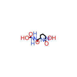 O=C(O)NNC(=O)C1CCC2CN1C(=O)N2O